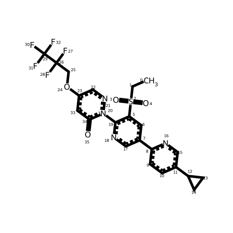 CCS(=O)(=O)c1cc(-c2ccc(C3CC3)cn2)cnc1-n1ncc(OCC(F)(F)C(F)(F)F)cc1=O